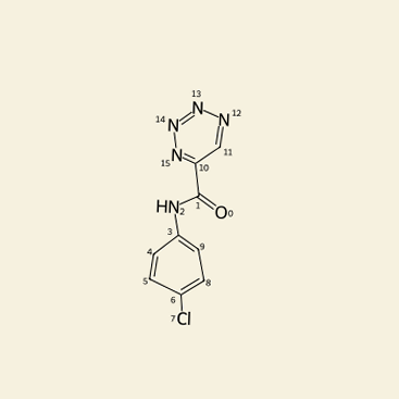 O=C(Nc1ccc(Cl)cc1)c1cnnnn1